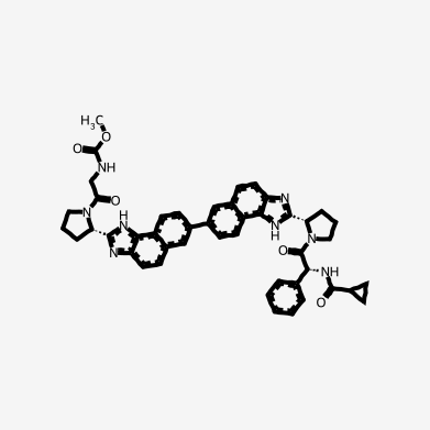 COC(=O)NCC(=O)N1CCC[C@H]1c1nc2ccc3cc(-c4ccc5c(ccc6nc([C@@H]7CCCN7C(=O)[C@H](NC(=O)C7CC7)c7ccccc7)[nH]c65)c4)ccc3c2[nH]1